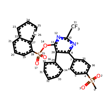 CS(=O)(=O)c1ccc(-c2nc(C(F)(F)F)nc(OS(=O)(=O)c3cccc4ccccc34)c2-c2ccccc2)cc1